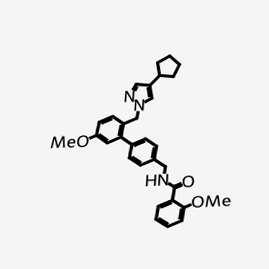 COc1ccc(Cn2cc(C3CCCC3)cn2)c(-c2ccc(CNC(=O)c3ccccc3OC)cc2)c1